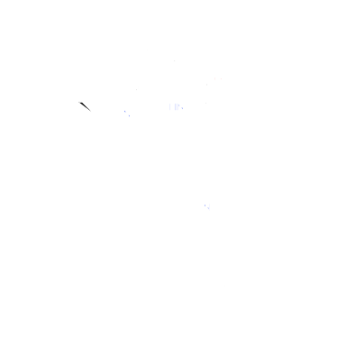 CC(C)(C)[C@H](NC(=O)OC1CCCC1)C(=O)N1C[C@H](Oc2ccnc(-c3ccccc3)c2)C[C@H]1C(=O)O